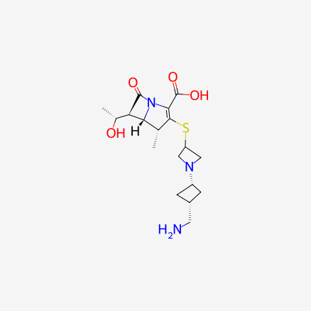 C[C@@H](O)[C@H]1C(=O)N2C(C(=O)O)=C(SC3CN([C@H]4C[C@@H](CN)C4)C3)[C@H](C)[C@H]12